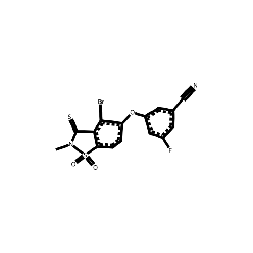 CN1C(=S)c2c(ccc(Oc3cc(F)cc(C#N)c3)c2Br)S1(=O)=O